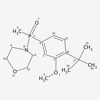 COc1cc(P(C)(=O)N2CCOCC2)ccc1C(C)(C)C